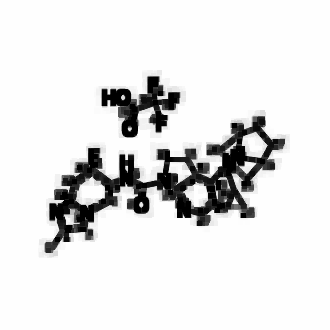 Cc1cn2cc(NC(=O)N3CCc4c(N5CC6CCC(C5)N6CC5CC5)ccnc43)c(F)cc2n1.O=C(O)C(F)(F)F